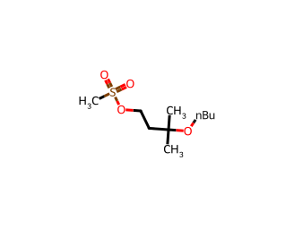 CCCCOC(C)(C)CCOS(C)(=O)=O